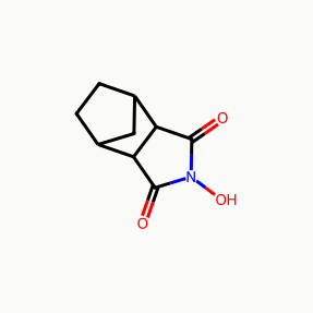 O=C1C2C3CCC(C3)C2C(=O)N1O